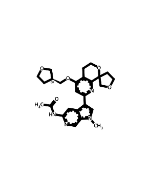 CC(=O)Nc1cc2c(-c3cc(OC[C@H]4CCOC4)c4c(n3)C3(CCOC3)OCC4)cn(C)c2cn1